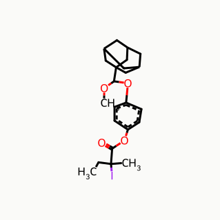 CCC(C)(I)C(=O)Oc1ccc(OC(OC)C23CC4CC(CC(C4)C2)C3)cc1